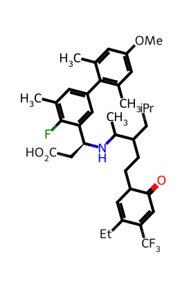 CCC1=CC(CCC(CC(C)C)C(C)N[C@@H](CC(=O)O)c2cc(-c3c(C)cc(OC)cc3C)cc(C)c2F)C(=O)C=C1C(F)(F)F